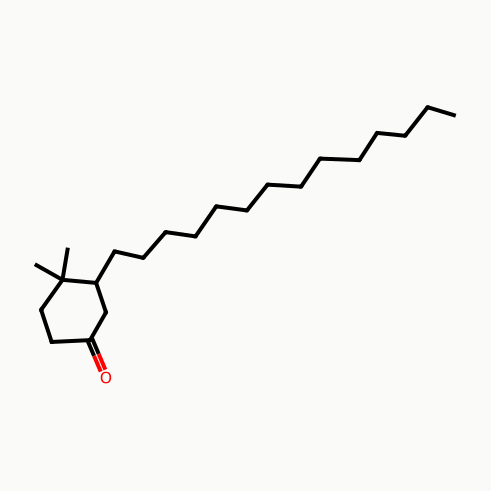 CCCCCCCCCCCCCCC1CC(=O)CCC1(C)C